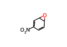 O=[N+]([O-])C1=CC2OC2C=C1